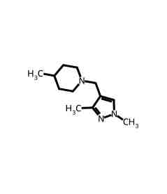 Cc1nn(C)cc1CN1CCC(C)CC1